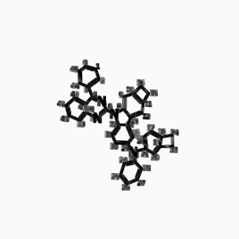 c1ccc(-c2nc(-n3c4cc5c(cc4c4c6c7cc8c(cc7n(-c7ccccc7)c6ccc43)CC8)CC5)nc3ccccc23)cc1